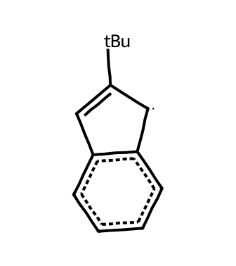 CC(C)(C)C1=Cc2ccccc2[CH]1